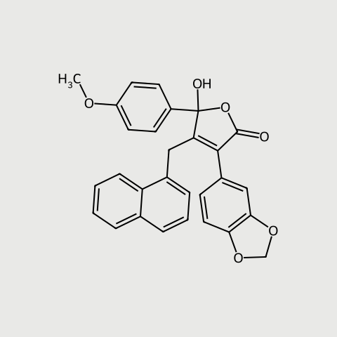 COc1ccc(C2(O)OC(=O)C(c3ccc4c(c3)OCO4)=C2Cc2cccc3ccccc23)cc1